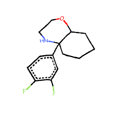 Fc1ccc(C23CCCCC2OCCN3)cc1F